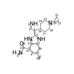 N=C/C(=C1/Nc2cc(F)cc(C(N)=O)c2N1)C1CCN(C2CC2)CC1